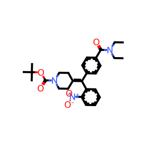 CCN(CC)C(=O)c1ccc(C(=C2CCN(C(=O)OC(C)(C)C)CC2)c2ccccc2[N+](=O)[O-])cc1